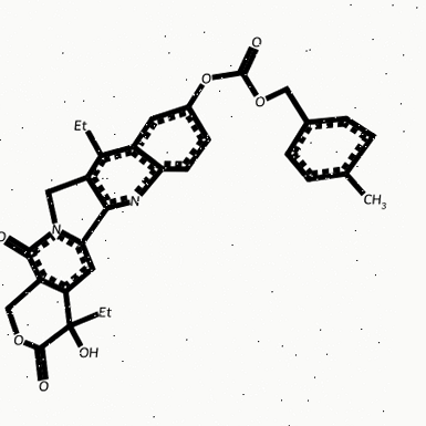 CCc1c2c(nc3ccc(OC(=O)OCc4ccc(C)cc4)cc13)-c1cc3c(c(=O)n1C2)COC(=O)C3(O)CC